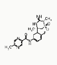 Cc1cnc(C(=O)NC2=CC=C(F)C([C@]3(C)CS(=O)(=O)N(C)C(=N)N3)C2)cn1